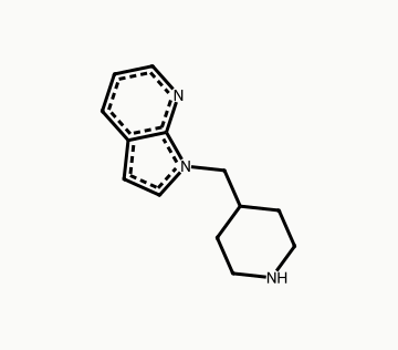 c1cnc2c(c1)ccn2CC1CCNCC1